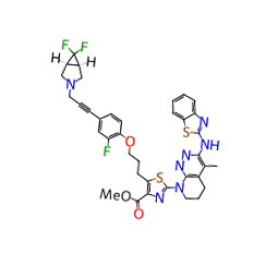 COC(=O)c1nc(N2CCCc3c2nnc(Nc2nc4ccccc4s2)c3C)sc1CCCOc1ccc(C#CCN2C[C@@H]3[C@H](C2)C3(F)F)cc1F